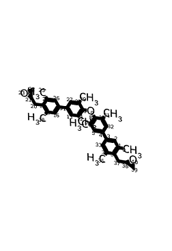 Cc1cc(-c2cc(C)c(Oc3c(C)cc(-c4cc(C)c(CC5CO5)c(C)c4)cc3C)c(C)c2)cc(C)c1CC1CO1